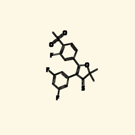 CC1(C)OC(c2ccc(S(C)(=O)=O)c(F)c2)=C(c2cc(F)cc(F)c2)C1=S